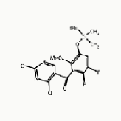 COc1c(O[Si](C)(C)C(C)(C)C)cc(F)c(F)c1C(=O)c1cnc(Cl)nc1Cl